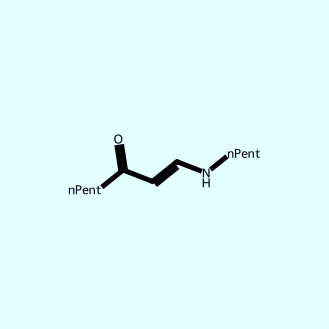 CCCCCNC=CC(=O)CCCCC